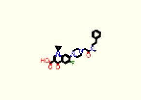 CN(CCc1ccccc1)C(=O)CN1CCN(c2cc3c(cc2F)c(=O)c(C(=O)O)cn3C2CC2)CC1